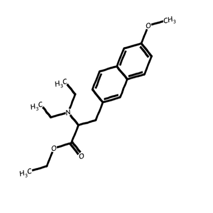 CCOC(=O)C(Cc1ccc2cc(OC)ccc2c1)N(CC)CC